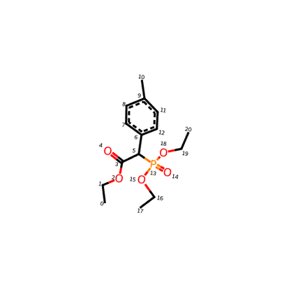 CCOC(=O)C(c1ccc(C)cc1)P(=O)(OCC)OCC